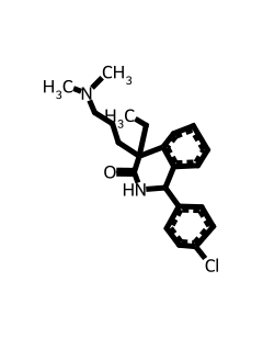 CCC1(CCCN(C)C)C(=O)NC(c2ccc(Cl)cc2)c2ccccc21